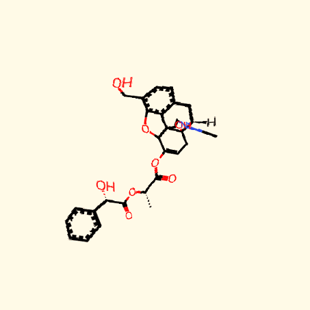 C[C@H](OC(=O)[C@@H](O)c1ccccc1)C(=O)OC1=CC[C@@]2(O)[C@H]3Cc4ccc(CO)c5c4C2(CCN3C)C1O5